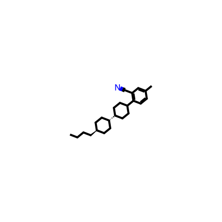 CCCC[C@H]1CC[C@H](C2CCC(c3ccc(C)cc3C#N)CC2)CC1